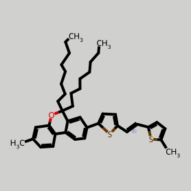 CCCCCCCCC1(CCCCCCCC)Oc2cc(C)ccc2-c2ccc(-c3ccc(/C=C/c4ccc(C)s4)s3)cc21